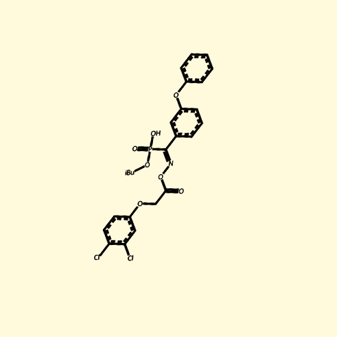 CCC(C)OP(=O)(O)C(=NOC(=O)COc1ccc(Cl)c(Cl)c1)c1cccc(Oc2ccccc2)c1